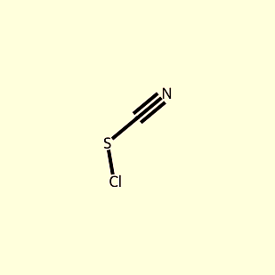 N#CSCl